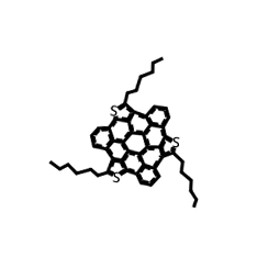 CCCCCCc1sc2c3cccc4c5c(CCCCCC)sc6c7cccc8c9c(CCCCCC)sc%10c%11cccc%12c1c2c1c(c34)c(c65)c(c78)c(c%109)c1c%11%12